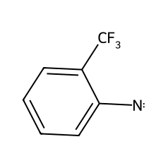 [N]c1ccccc1C(F)(F)F